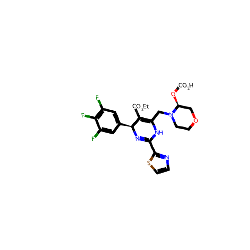 CCOC(=O)C1=C(CN2CCOC[C@@H]2OC(=O)O)NC(c2nccs2)=N[C@H]1c1cc(F)c(F)c(F)c1